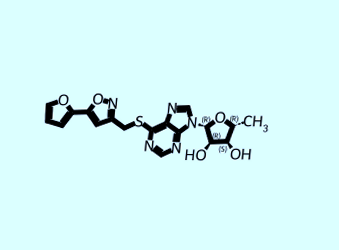 C[C@H]1O[C@@H](n2cnc3c(SCc4cc(-c5ccco5)on4)ncnc32)[C@H](O)[C@@H]1O